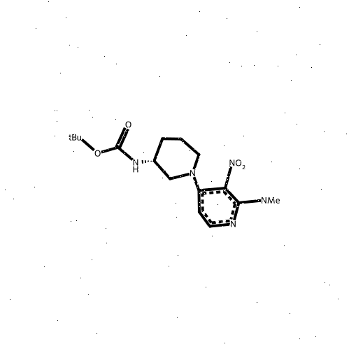 CNc1nccc(N2CCC[C@@H](NC(=O)OC(C)(C)C)C2)c1[N+](=O)[O-]